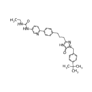 CCNC(=O)Nc1ccc(-c2ccc(CCCc3nn(Cc4ccc(C(C)(C)C)cc4)c(=O)[nH]3)cc2)nc1